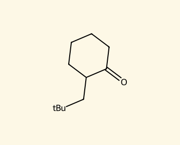 CC(C)(C)CC1CCCCC1=O